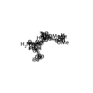 C=C1C[C@H]2C=Nc3cc(OCCCCCOc4cc5c(cc4OC)C(=O)N4CC(=C)C[C@H]4[C@H](O)N5C(=O)OCc4ccc(NC(=O)[C@H](CCCNC(N)=O)NC(=O)[C@@H](NC(=O)CCCCCN5C(=O)CC([C@@H](C)CC)C5=O)C(C)C)cc4)c(OC)cc3C(=O)N2C1